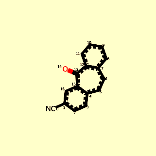 N#Cc1ccc2ccc3ccccc3c(=O)c2c1